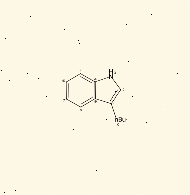 CCC[CH]c1c[nH]c2ccccc12